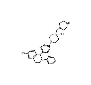 Oc1ccc2c(c1)CC[C@H](c1ccccc1)C2c1ccc(N2CCC(O)(CN3CCNCC3)CC2)cc1